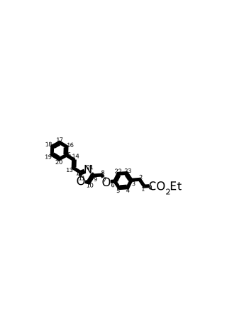 CCOC(=O)CCc1ccc(OCc2coc(C=Cc3ccccc3)n2)cc1